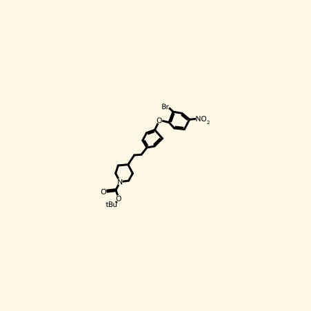 CC(C)(C)OC(=O)N1CCC(CCc2ccc(Oc3ccc([N+](=O)[O-])cc3Br)cc2)CC1